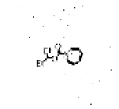 CCC(CC)OC(=O)N1C=CC=CC=C1